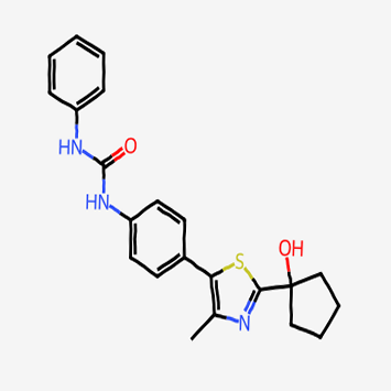 Cc1nc(C2(O)CCCC2)sc1-c1ccc(NC(=O)Nc2ccccc2)cc1